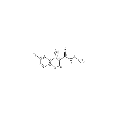 CCOC(=O)C1=C(O)c2cc(F)ccc2CC1